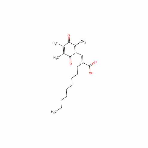 CCCCCCCCCC(=CC1=C(C)C(=O)C(C)=C(C)C1=O)C(=O)O